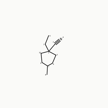 CCC1(C#N)CCC(C)CC1